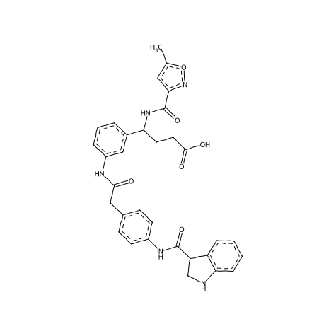 Cc1cc(C(=O)NC(CCC(=O)O)c2cccc(NC(=O)Cc3ccc(NC(=O)C4CNc5ccccc54)cc3)c2)no1